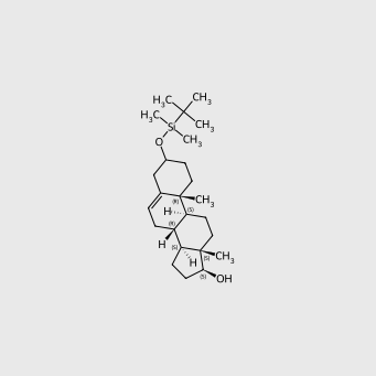 CC(C)(C)[Si](C)(C)OC1CC[C@@]2(C)C(=CC[C@H]3[C@@H]4CC[C@H](O)[C@@]4(C)CC[C@@H]32)C1